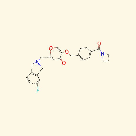 O=C(c1ccc(COc2coc(CN3Cc4ccc(F)cc4C3)cc2=O)cc1)N1CCC1